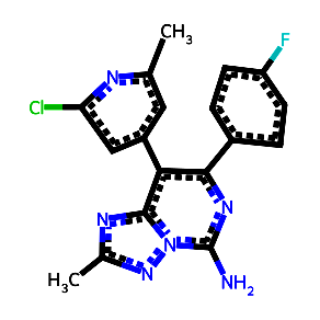 Cc1cc(-c2c(-c3ccc(F)cc3)nc(N)n3nc(C)nc23)cc(Cl)n1